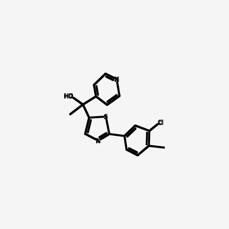 Cc1ccc(-c2ncc(C(C)(O)c3ccncc3)s2)cc1Cl